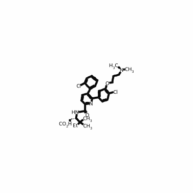 CCC(C)(C)[C@H](CC(=O)O)NC(=O)c1ccc(-c2ccccc2Cl)c(-c2ccc(Cl)c(OCCCN(C)C)c2)n1